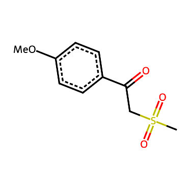 COc1ccc(C(=O)CS(C)(=O)=O)cc1